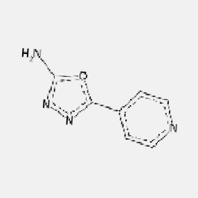 Nc1nnc(-c2ccncc2)o1